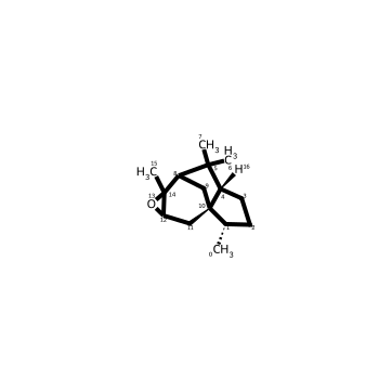 C[C@H]1CC[C@H]2C(C)(C)C3C[C@@]12CC1OC13C